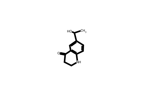 CC(O)c1ccc2c(c1)C(=O)CCN2